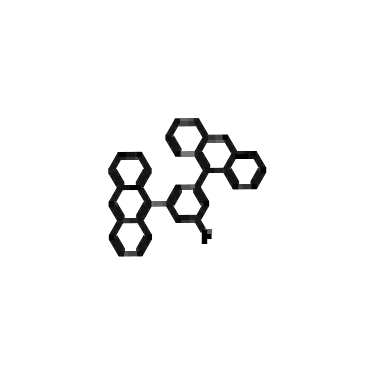 Fc1cc(-c2c3ccccc3cc3ccccc23)cc(-c2c3ccccc3cc3ccccc23)c1